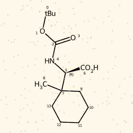 CC(C)(C)OC(=O)N[C@@H](C(=O)O)C1(C)CCCCC1